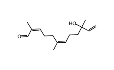 C=CC(C)(O)CCC=C(C)CCC=C(C)C=O